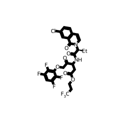 CC[C@@H](C(=O)NC(CC(=O)OCCC(F)(F)F)C(=O)COc1c(F)c(F)cc(F)c1F)n1ccc2ccc(Cl)cc2c1=O